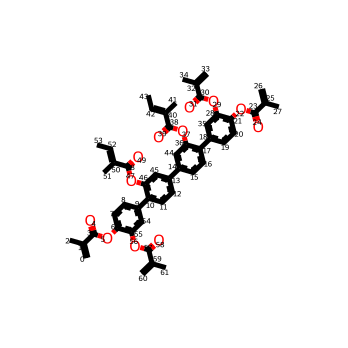 C=C(C)C(=O)Oc1ccc(-c2ccc(-c3ccc(-c4ccc(OC(=O)C(=C)C)c(OC(=O)C(=C)C)c4)c(OC(=O)/C(C)=C/C)c3)cc2OC(=O)/C(C)=C/C)cc1OC(=O)C(=C)C